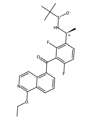 CCOc1nccc2c(C(=O)c3c(F)ccc([C@H](C)N[S+]([O-])C(C)(C)C)c3F)cccc12